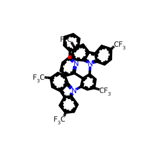 FC(F)(F)c1cc(-n2c3ccc(C(F)(F)F)cc3c3cc(C(F)(F)F)ccc32)c(-c2cccc(-c3ccccc3)n2)c(-n2c3ccc(C(F)(F)F)cc3c3cc(C(F)(F)F)ccc32)c1